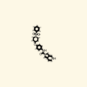 O=C(Nc1ccc(OC2CCN(S(=O)(=O)c3ccccc3)CC2)cc1)N1C=C2C=CNC=C2C1